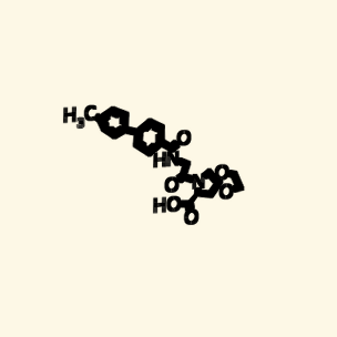 Cc1ccc(-c2ccc(C(=O)NCC(=O)N3CC4(C[C@H]3C(=O)O)OCCO4)cc2)cc1